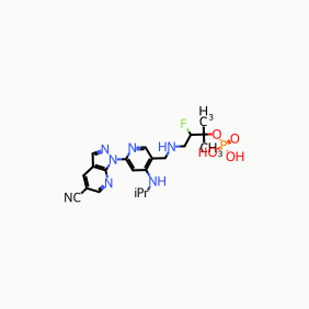 CC(C)Nc1cc(-n2ncc3cc(C#N)cnc32)ncc1CNCC(F)C(C)(C)OP(=O)(O)O